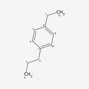 [CH2]CCc1ccc(CC)cc1